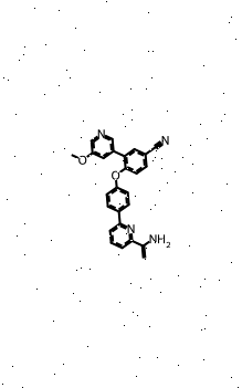 C=C(N)c1cccc(-c2ccc(Oc3ccc(C#N)cc3-c3cncc(OC)c3)cc2)n1